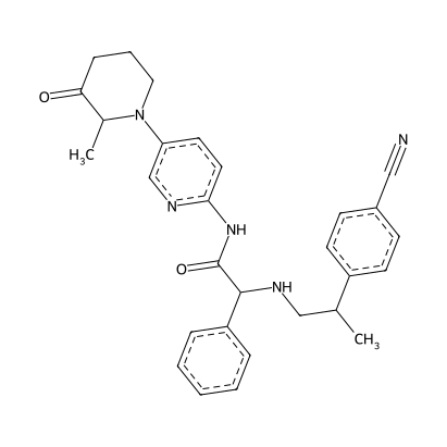 CC(CNC(C(=O)Nc1ccc(N2CCCC(=O)C2C)cn1)c1ccccc1)c1ccc(C#N)cc1